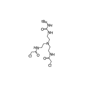 CC(C)(C)NC(=O)NCCN(CCNC(=O)CCl)CCNC(=O)CCl